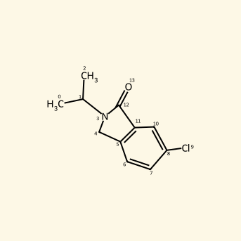 CC(C)N1Cc2ccc(Cl)cc2C1=O